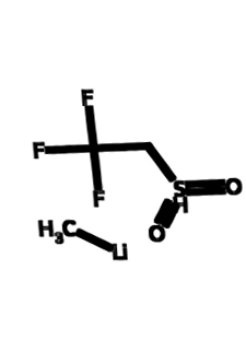 O=[SH](=O)CC(F)(F)F.[Li][CH3]